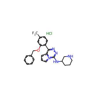 Cl.FC(F)(F)c1ccc(-c2nnc(NC3CCCNC3)n3cccc23)c(OCc2ccccc2)c1